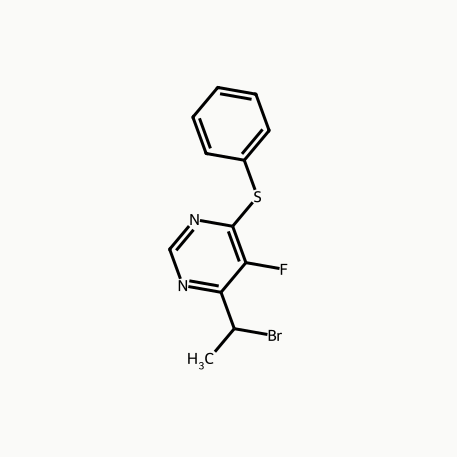 CC(Br)c1ncnc(Sc2ccccc2)c1F